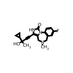 CN1Cc2cc(F)ccc2-n2c(c(C#CC(C)(O)C3CC3)[nH]c2=O)C1